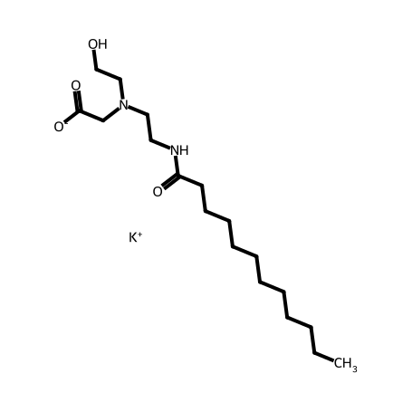 CCCCCCCCCCCC(=O)NCCN(CCO)CC(=O)[O-].[K+]